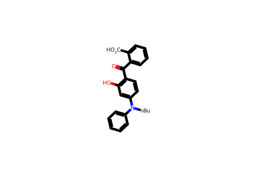 CCCCN(c1ccccc1)c1ccc(C(=O)c2ccccc2C(=O)O)c(O)c1